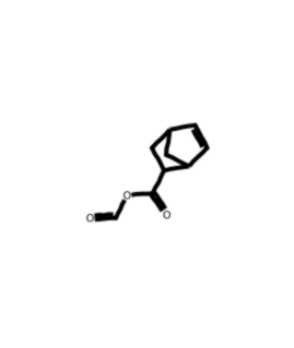 O=COC(=O)C1CC2C=CC1C2